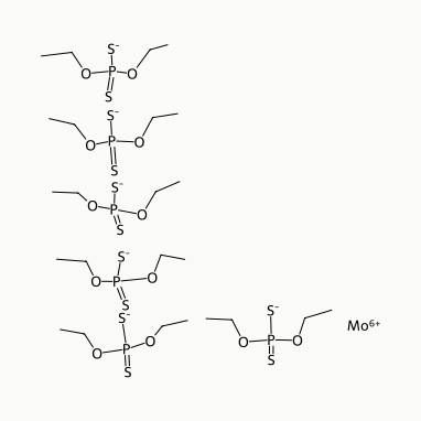 CCOP(=S)([S-])OCC.CCOP(=S)([S-])OCC.CCOP(=S)([S-])OCC.CCOP(=S)([S-])OCC.CCOP(=S)([S-])OCC.CCOP(=S)([S-])OCC.[Mo+6]